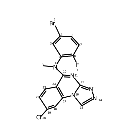 CN(c1cc(Br)ccc1F)c1nc2nncn2c2cc(Cl)ccc12